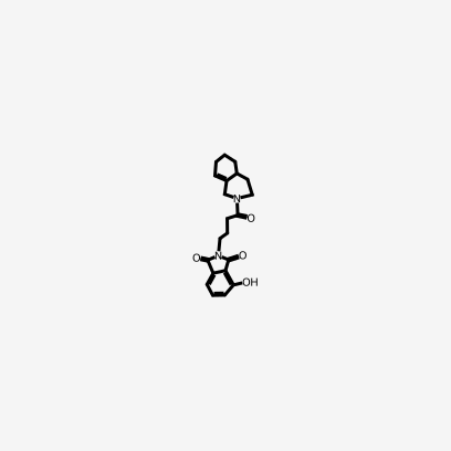 O=C(CCCN1C(=O)c2cccc(O)c2C1=O)N1CCC2CCCC=C2C1